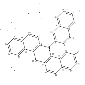 c1ccc2ncc(N3c4ccc5ccccc5c4Sc4ccc5ccccc5c43)cc2c1